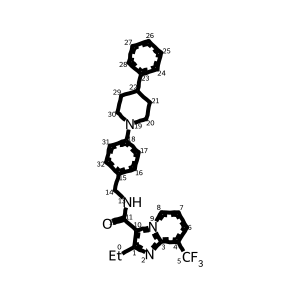 CCc1nc2c(C(F)(F)F)cccn2c1C(=O)NCc1ccc(N2CCC(c3ccccc3)CC2)cc1